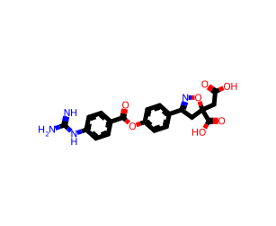 N=C(N)Nc1ccc(C(=O)Oc2ccc(C3=NOC(CC(=O)O)(C(=O)O)C3)cc2)cc1